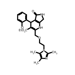 CCOC(=O)C1=C(COCCn2c(C)nc(C)c2C)NC2=C(C(=O)NC2)C1c1ccccc1Cl